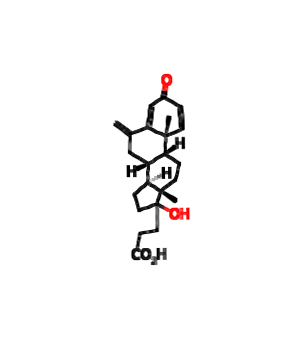 C=C1C[C@@H]2[C@@H](CC[C@@]3(C)[C@H]2CCC3(O)CCC(=O)O)[C@@]2(C)C=CC(=O)C=C12